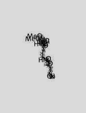 COC(=O)C(C(C)OC)N(C)C(=O)C1(N(O)C(=O)/C=C/C=C/C=C/C=C\CNC(=O)C(C)(C)C(=O)\C(C)=C/C=C\C=C\Cc2cnco2)COCO1